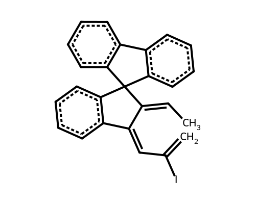 C=C(I)/C=C1\C(=C/C)C2(c3ccccc31)c1ccccc1-c1ccccc12